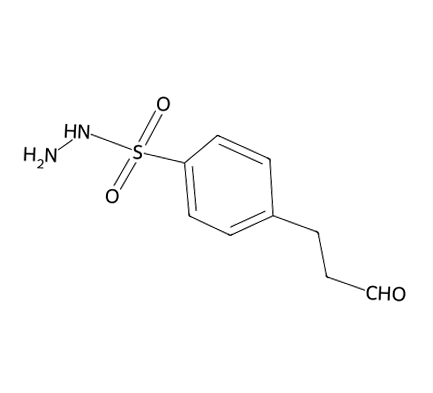 NNS(=O)(=O)c1ccc(CCC=O)cc1